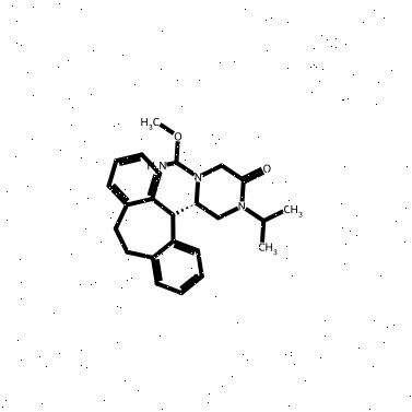 COC(N)N1CC(=O)N(C(C)C)C[C@@H]1C1c2ccccc2CCc2ccccc21